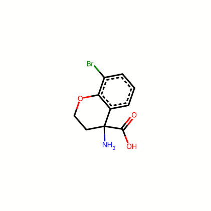 NC1(C(=O)O)CCOc2c(Br)cccc21